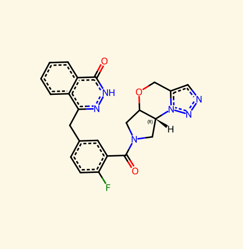 O=C(c1cc(Cc2n[nH]c(=O)c3ccccc23)ccc1F)N1CC2OCc3cnnn3[C@@H]2C1